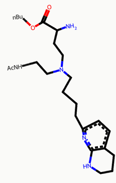 CCCCOC(=O)C(N)CCN(CCCCc1ccc2c(n1)NCCC2)CCNC(C)=O